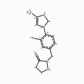 O=C1CCON1Cc1ccc(N2C=C(C(F)(F)F)OC2)c(F)c1